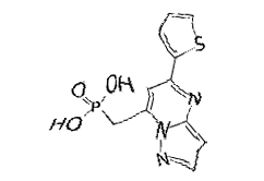 O=P(O)(O)Cc1cc(-c2cccs2)nc2ccnn12